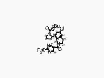 CC(C)(C)OC(=O)N1CCCC1c1cc(Cl)cc2c1CN(C(=O)c1cnc(C(F)(F)F)nc1)CC2